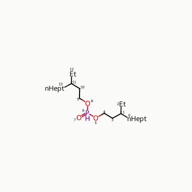 CCCCCCCC(CC)CCO[PH](=O)OCCC(CC)CCCCCCC